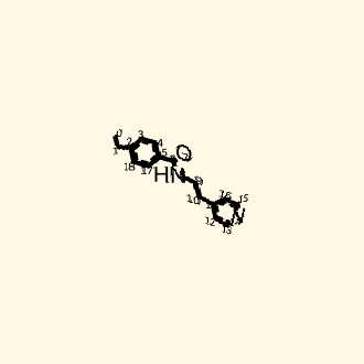 CCc1ccc(C(=O)NCCc2ccncc2)cc1